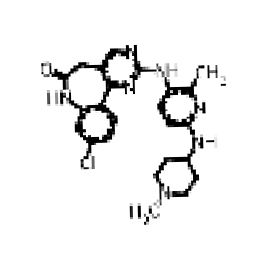 Cc1nc(NC2CCN(C)CC2)ccc1Nc1ncc2c(n1)-c1ccc(Cl)cc1NC(=O)C2